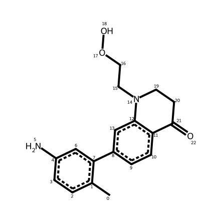 Cc1ccc(N)cc1-c1ccc2c(c1)N(CCOO)CCC2=O